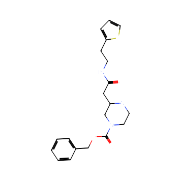 O=C(CC1CN(C(=O)OCc2ccccc2)CCN1)NCCc1cccs1